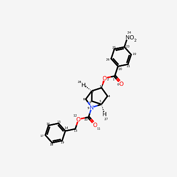 O=C(O[C@H]1C[C@@H]2C[C@H]1CN2C(=O)OCc1ccccc1)c1ccc([N+](=O)[O-])cc1